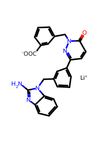 Nc1nc2ccccc2n1Cc1cccc(-c2ccc(=O)n(Cc3cccc(C(=O)[O-])c3)n2)c1.[Li+]